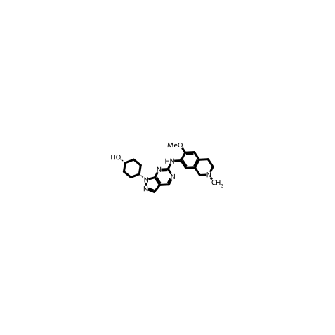 COc1cc2c(cc1Nc1ncc3cnn([C@H]4CC[C@@H](O)CC4)c3n1)CN(C)CC2